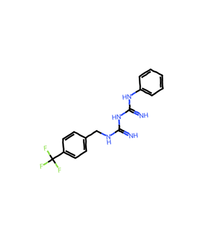 N=C(NCc1ccc(C(F)(F)F)cc1)NC(=N)Nc1ccccc1